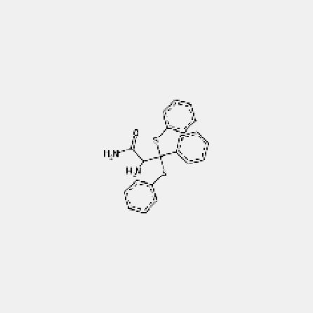 NC(=O)C(N)C(Sc1ccccc1)(Sc1ccccc1)c1ccccc1